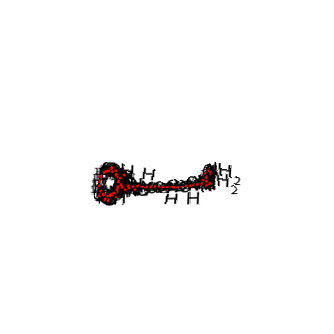 CO[C@H]1C[C@@H]2CC[C@@H](C)[C@@](O)(O2)C(=O)C(=O)N2CCCC[C@H]2C(=O)O[C@H]([C@H](N)C[C@@H]2CC[C@H](n3cc(CCCC(=O)NCCOCCOCCOCCC(=O)NCCOCCOCCC(=O)NCCCCn4nc(-c5ccc6oc(N)nc6c5)c5c(N)ncnc54)nn3)[C@H](OC)C2)C/C(=N/OC(C)(C)C)[C@H](C)/C=C(\C)[C@@H](O)[C@@H](OC)C(=O)[C@H](C)C[C@H](C)/C=C/C=C/C=C/1C